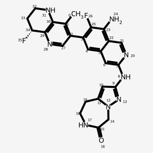 Cc1c(-c2cc3cc(Nc4cc5n(n4)CC(=O)NCC5)ncc3c(N)c2F)cnc2c1NCC[C@H]2F